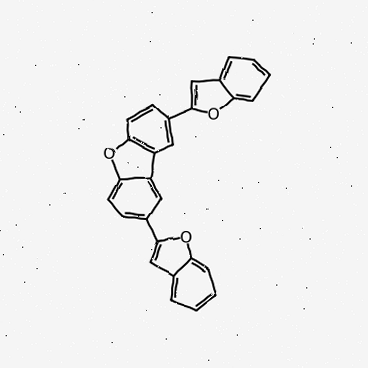 c1ccc2oc(-c3ccc4oc5ccc(-c6cc7ccccc7o6)cc5c4c3)cc2c1